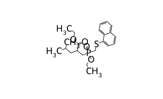 CCOC(=O)C(CC(C)C)CP(=O)(CSc1cccc2ccccc12)OCC